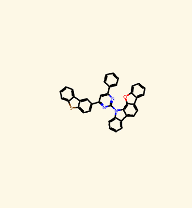 c1ccc(-c2cc(-c3ccc4sc5ccccc5c4c3)nc(-n3c4ccccc4c4ccc5c6ccccc6oc5c43)n2)cc1